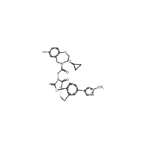 Cn1cc(-c2ccc3c(c2)CC[C@@]32OC(=O)N(CC(=O)N3Cc4cc(F)ccc4OC[C@H]3C3CC3)C2=O)cn1